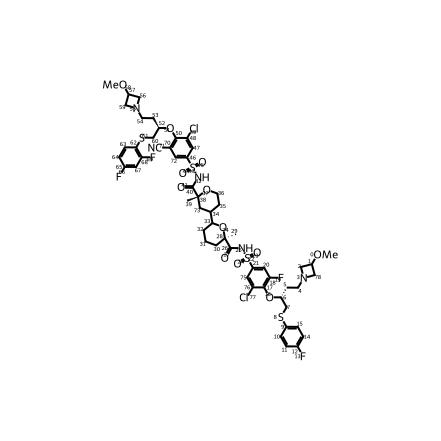 COC1CN(CC[C@H](CSc2ccc(F)cc2)Oc2c(F)cc(S(=O)(=O)NC(=O)[C@@]3(C)CCCC(C4CCO[C@@](C)(C(=O)NS(=O)(=O)c5cc(Cl)c(O[C@H](CCN6CC(OC)C6)CSc6ccc(F)cc6F)c(C#N)c5)C4)O3)cc2Cl)C1